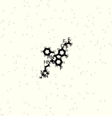 Cn1nnc(CCNC(=O)N[C@](Cc2ccccc2)(c2ccc(F)cc2)c2cc(F)cc(OC(F)(F)C(F)F)c2)n1